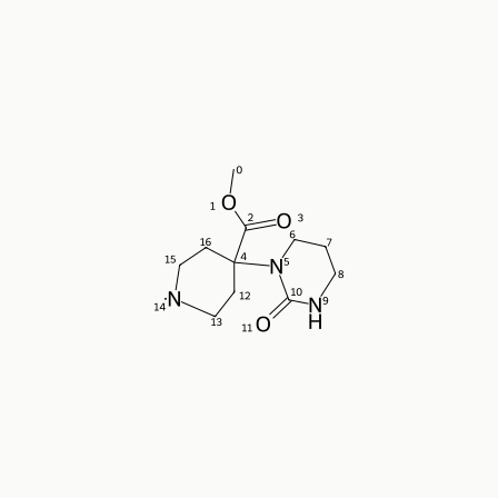 COC(=O)C1(N2CCCNC2=O)CC[N]CC1